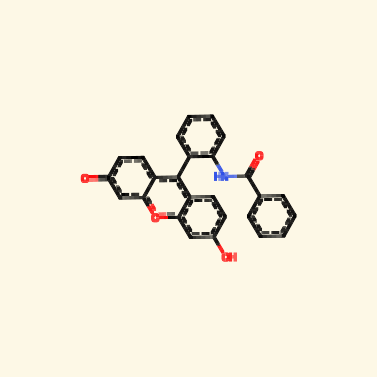 O=C(Nc1ccccc1-c1c2ccc(=O)cc-2oc2cc(O)ccc12)c1ccccc1